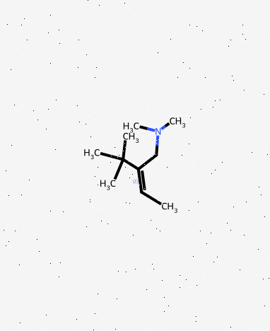 C/C=C(\CN(C)C)C(C)(C)C